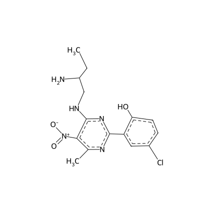 CCC(N)CNc1nc(-c2cc(Cl)ccc2O)nc(C)c1[N+](=O)[O-]